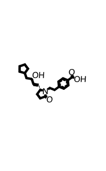 O=C(O)c1ccc(CCN2C(=O)CC[C@@H]2C=CC(O)CC2CCCC2)cc1